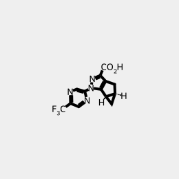 O=C(O)c1nn(-c2cnc(C(F)(F)F)cn2)c2c1C[C@H]1C[C@@H]21